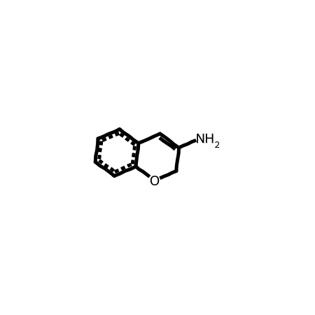 NC1=Cc2ccccc2OC1